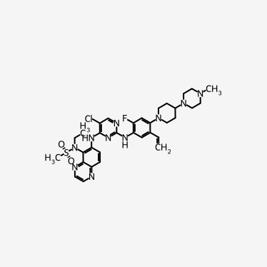 C=Cc1cc(Nc2ncc(Cl)c(Nc3ccc4nccnc4c3N(CC)S(C)(=O)=O)n2)c(F)cc1N1CCC(N2CCN(C)CC2)CC1